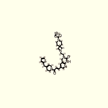 CC(C)(C)OC(=O)N1CCC2(CC1)CN(CCN1Cc3cc(C=CC(=O)N4CC=C(Cc5cccs5)CC4)cnc3NC1=O)C2